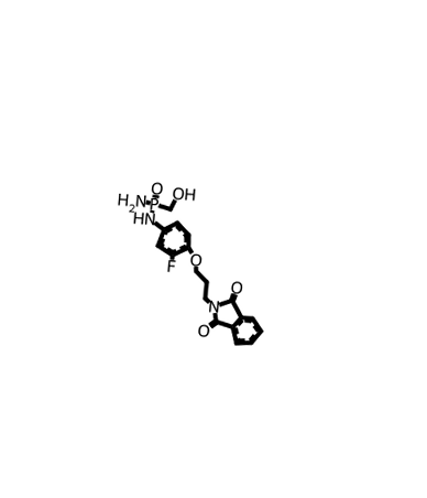 NP(=O)(CO)Nc1ccc(OCCCN2C(=O)c3ccccc3C2=O)c(F)c1